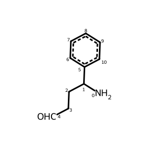 NC(CCC=O)c1ccccc1